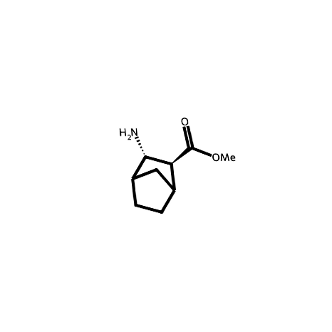 COC(=O)[C@H]1C2CCC(C2)[C@@H]1N